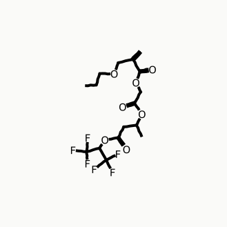 C=C(COCCC)C(=O)OCC(=O)OC(C)CC(=O)OC(C(F)(F)F)C(F)(F)F